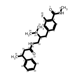 CNC(=O)c1ccc(CC(CNC(=O)CC(C)c2ccccc2)N(C)C)cc1F